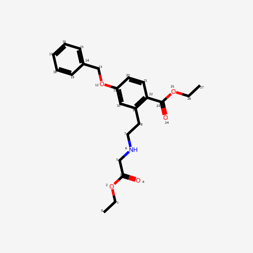 CCOC(=O)CNCCc1cc(OCc2ccccc2)ccc1C(=O)OCC